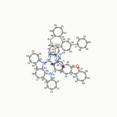 c1ccc(-c2cccc(-n3c4ccccc4c4ccc5c6ccccc6n(-c6nc(-c7ccc8c(c7)oc7ccccc78)nc(C7CCc8ccccc8-c8cc(-c9ccccc9)ccc87)n6)c5c43)c2)cc1